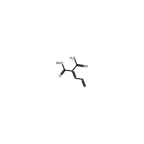 C=C/C=C(\C(=N)N)C(=O)OC